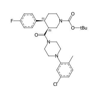 Cc1ccc(Cl)cc1N1CCN(C(=O)[C@@H]2CN(C(=O)OC(C)(C)C)CC[C@@H]2c2ccc(F)cc2)CC1